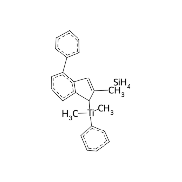 CC1=Cc2c(-c3ccccc3)cccc2[CH]1[Ti]([CH3])([CH3])[c]1ccccc1.[SiH4]